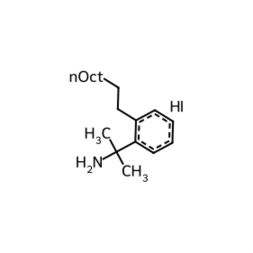 CCCCCCCCCCc1ccccc1C(C)(C)N.I